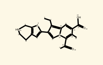 CCc1c(-c2cc3c(s2)CNCC3)cn2c(C(C)=O)c(C)c(C(=O)O)cc12